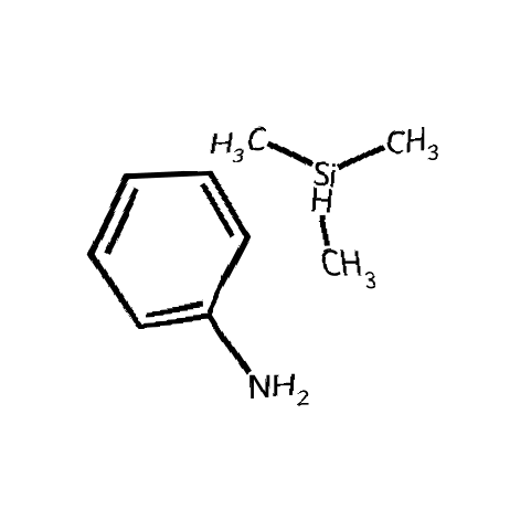 C[SiH](C)C.Nc1ccccc1